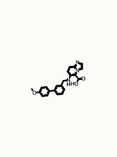 COc1ccc(-c2cccc(CNc3ccc4nccn4c3C(=O)O)c2)cc1